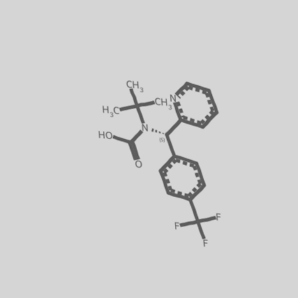 CC(C)(C)N(C(=O)O)[C@@H](c1ccc(C(F)(F)F)cc1)c1ccccn1